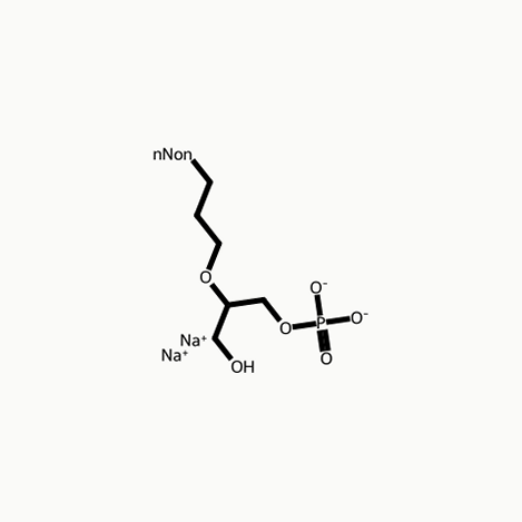 CCCCCCCCCCCCOC(CO)COP(=O)([O-])[O-].[Na+].[Na+]